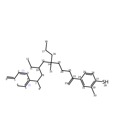 C=C/C=C\C(=C/C)C(C)CC(CC)CC(C)(CCC)CCCC(=C)c1ccc(S)c(C)c1